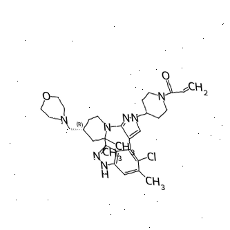 C=CC(=O)N1CCC(n2cc(-c3c(Cl)c(C)cc4[nH]ncc34)c(N3CC[C@@H](CN4CCOCC4)CC3(C)C)n2)CC1